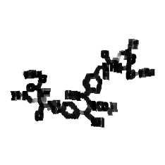 CCSC[C@H](NC(=O)OC(C)(C)C)C(=O)NCc1ccc(C(=N)N(C(=N)c2ccc(CNC(=O)[C@H](CSCC)NC(=O)OC(C)(C)C)cc2)C(=O)O)cc1